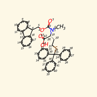 CN(C(=O)OCC1c2ccccc2-c2ccccc21)[C@H](CCSC(c1ccccc1)(c1ccccc1)c1ccccc1)C(=O)O